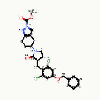 CC(C)(C)OC(=O)n1cc2c(n1)CC[C@H](N1CCC(Cc3c(Cl)cc(OCc4ccccc4)cc3Cl)C1=O)C2